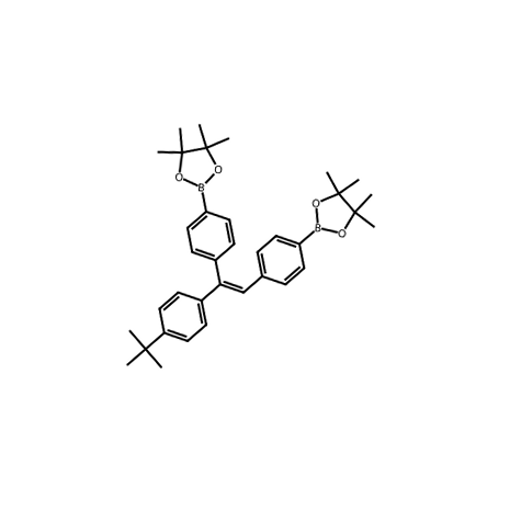 CC(C)(C)c1ccc(C(=Cc2ccc(B3OC(C)(C)C(C)(C)O3)cc2)c2ccc(B3OC(C)(C)C(C)(C)O3)cc2)cc1